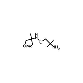 COCC(C)(C)NOCC(C)(C)N